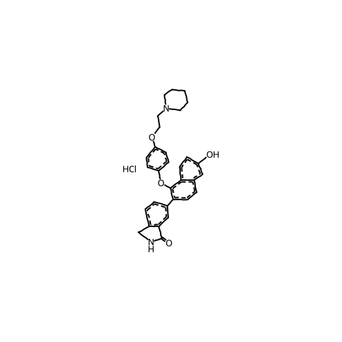 Cl.O=C1NCc2ccc(-c3ccc4cc(O)ccc4c3Oc3ccc(OCCN4CCCCC4)cc3)cc21